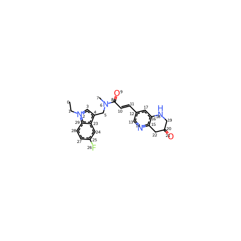 CCn1cc(CN(C)C(=O)/C=C/c2cnc3c(c2)NCC(=O)C3)c2cc(F)ccc21